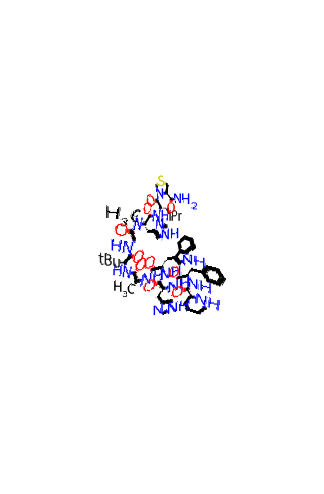 CC(C)C[C@H](NC(=O)[C@H](Cc1c[nH]cn1)N(C)C(=O)CNC(=O)[C@@H](NC(=O)[C@H](C)NC(=O)[C@H](Cc1c[nH]c2ccccc12)NC(=O)[C@H](Cc1c[nH]cn1)NC(=O)[C@@H](Cc1ccccc1)NC(=O)[C@@H]1CCCCN1)C(C)(C)C)C(=O)N1CSC[C@H]1C(N)=O